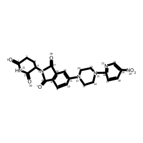 O=C1CCC(N2C(=O)c3ccc(N4CCN(c5ccc([N+](=O)[O-])cn5)CC4)cc3C2=O)C(=O)N1